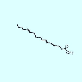 CCCC/C=C/CCCC/C=C/C=C/CCC(=O)O